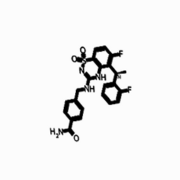 C[C@@H](c1ccccc1F)c1c(F)ccc2c1NC(NCc1ccc(C(N)=O)cc1)=NS2(=O)=O